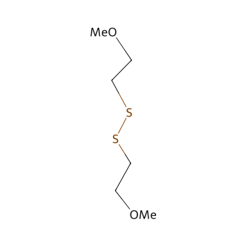 COCCSSCCOC